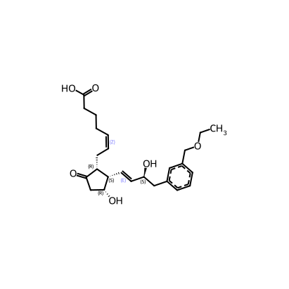 CCOCc1cccc(C[C@H](O)/C=C/[C@@H]2[C@H](O)CC(=O)[C@@H]2C/C=C\CCCC(=O)O)c1